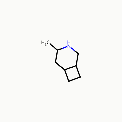 CC1CC2CCC2CN1